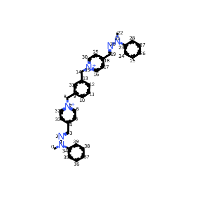 CN(/N=C/c1cc[n+](Cc2cccc(C[n+]3ccc(/C=N/N(C)c4ccccc4)cc3)c2)cc1)c1ccccc1